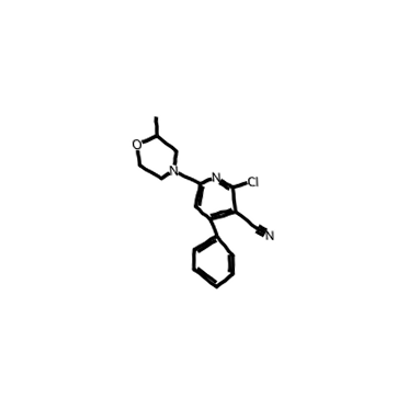 CC1CN(c2cc(-c3ccccc3)c(C#N)c(Cl)n2)CCO1